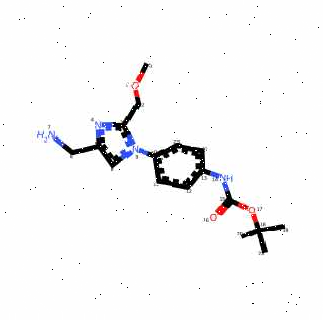 COCc1nc(CN)cn1-c1ccc(NC(=O)OC(C)(C)C)cc1